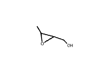 CC1OC1CO